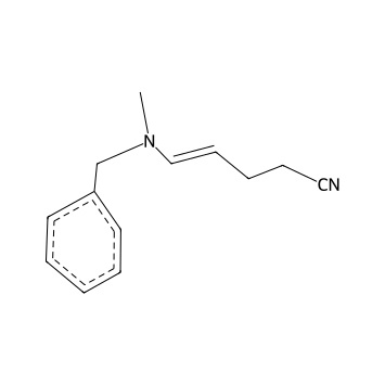 CN(C=CCCC#N)Cc1ccccc1